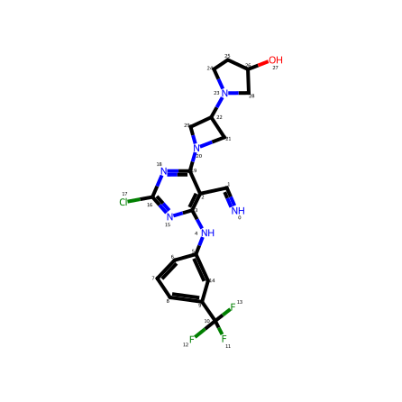 N=Cc1c(Nc2cccc(C(F)(F)F)c2)nc(Cl)nc1N1CC(N2CCC(O)C2)C1